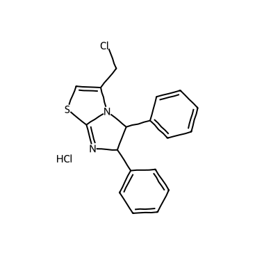 Cl.ClCC1=CSC2=NC(c3ccccc3)C(c3ccccc3)N12